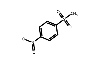 CS(=O)(=O)c1[c]cc([N+](=O)[O-])cc1